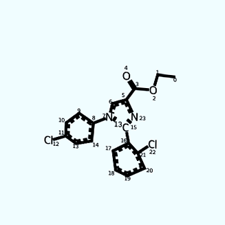 CCOC(=O)c1cn(-c2ccc(Cl)cc2)[13c](-c2ccccc2Cl)n1